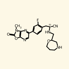 Cn1c(=O)oc2ncc(-c3ccc(C[C@@H](C#N)NCC4CNCCCO4)c(F)c3)nc21